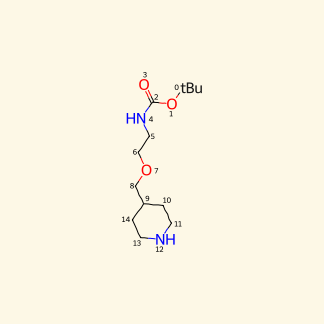 CC(C)(C)OC(=O)NCCOCC1CCNCC1